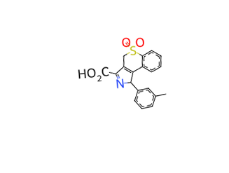 Cc1cccc(C2N=C(C(=O)O)C3=C2c2ccccc2S(=O)(=O)C3)c1